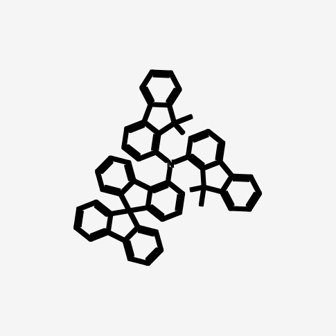 CC1(C)c2ccccc2-c2cccc(N(c3cccc4c3-c3ccccc3C43c4ccccc4-c4ccccc43)c3cccc4c3C(C)(C)c3ccccc3-4)c21